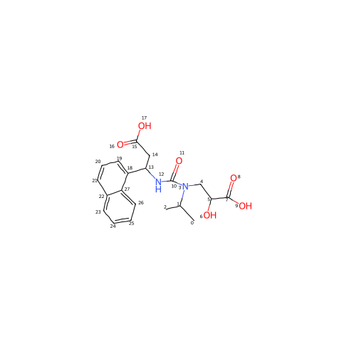 CC(C)N(CC(O)C(=O)O)C(=O)NC(CC(=O)O)c1cccc2ccccc12